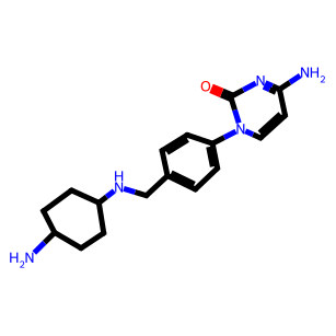 Nc1ccn(-c2ccc(CNC3CCC(N)CC3)cc2)c(=O)n1